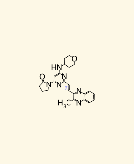 Cc1nc2ccccc2nc1/C=C/c1nc(NC2CCOCC2)cc(N2CCCC2=O)n1